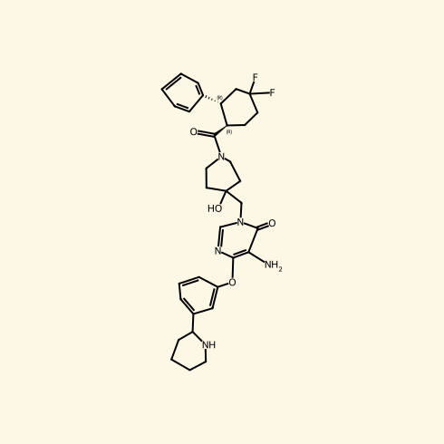 Nc1c(Oc2cccc(C3CCCCN3)c2)ncn(CC2(O)CCN(C(=O)[C@@H]3CCC(F)(F)C[C@H]3c3ccccc3)CC2)c1=O